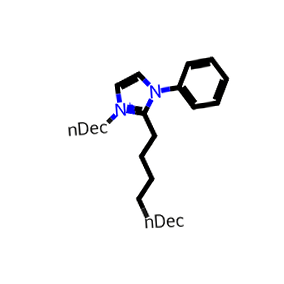 CCCCCCCCCCCCCCc1n(-c2ccccc2)cc[n+]1CCCCCCCCCC